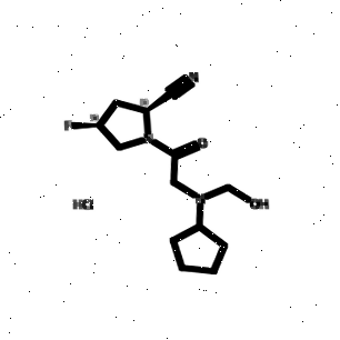 Cl.N#C[C@@H]1C[C@H](F)CN1C(=O)CN(CO)C1CCCC1